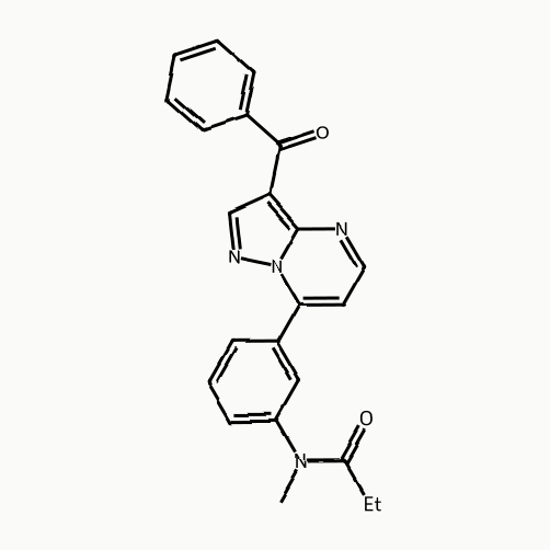 CCC(=O)N(C)c1cccc(-c2ccnc3c(C(=O)c4ccccc4)cnn23)c1